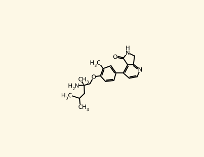 Cc1cc(-c2ccnc3c2C(=O)NC3)ccc1OC[C@@](C)(N)CC(C)C